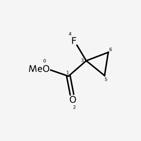 COC(=O)C1(F)CC1